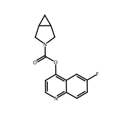 O=C(Oc1ccnc2ccc(F)cc12)N1CC2CC2C1